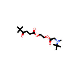 CN(CC(=O)OCCOC(=O)CCC(=O)C(C)(C)C)C(C)(C)C